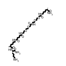 C[C@@H](CCCCNC(=O)COCCOCCNC(=O)COCCOCCNC(=O)CCCC(=O)NCCCC[C@H](C)C(=O)N[C@@H](CCCCN)C(N)=O)C(N)=O